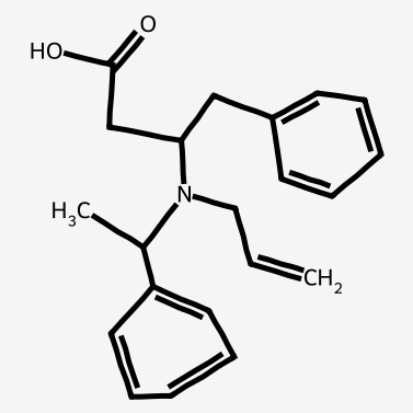 C=CCN(C(CC(=O)O)Cc1ccccc1)C(C)c1ccccc1